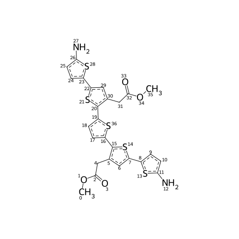 COC(=O)Cc1cc(-c2ccc(N)s2)sc1-c1ccc(-c2sc(-c3ccc(N)s3)cc2CC(=O)OC)s1